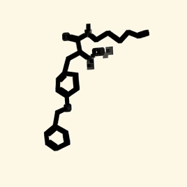 C=CCCCCN(C)C(=O)C(Cc1ccc(OCc2ccccc2)cc1)NC(=O)O